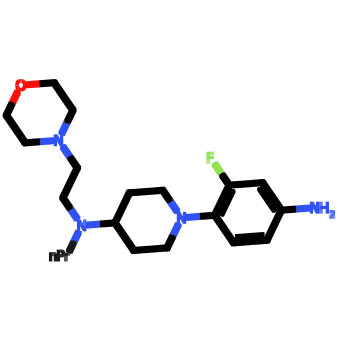 CCCN(CCN1CCOCC1)C1CCN(c2ccc(N)cc2F)CC1